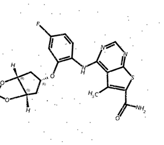 Cc1c(C(N)=O)sc2ncnc(Nc3ccc(F)cc3O[C@@H]3C[C@@H]4OCO[C@@H]4C3)c12